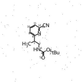 CC(CNC(=O)OC(C)(C)C)c1cccc(C#N)n1